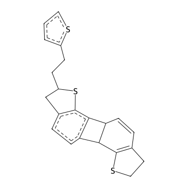 C1=CC2c3c(ccc4c3SC(CCc3cccs3)C4)C2C2=C1CCS2